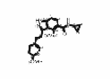 COc1ccc(/C=C/c2n[nH]c3ccc(C(=O)NC4CC4)c(OC)c23)cn1